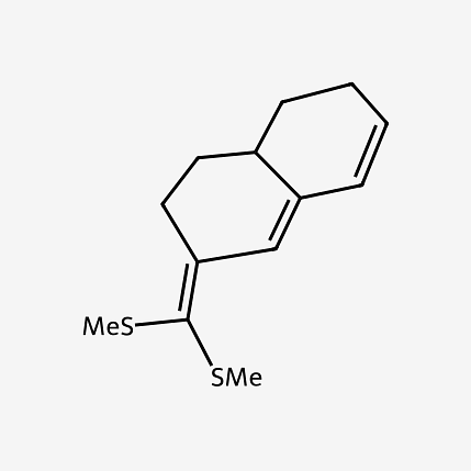 CSC(SC)=C1C=C2C=CCCC2CC1